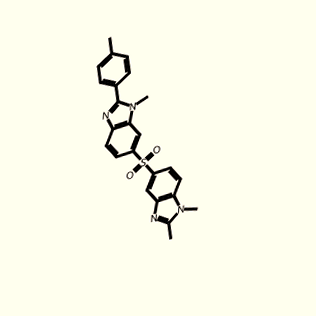 Cc1ccc(-c2nc3ccc(S(=O)(=O)c4ccc5c(c4)nc(C)n5C)cc3n2C)cc1